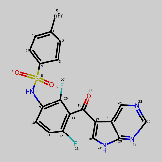 CCCc1ccc(S(=O)(=O)Nc2ccc(F)c(C(=O)c3c[nH]c4ncncc34)c2F)cc1